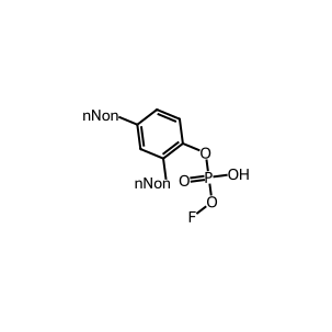 CCCCCCCCCc1ccc(OP(=O)(O)OF)c(CCCCCCCCC)c1